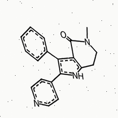 CN1CCc2[nH]c(-c3ccncc3)c(-c3ccccc3)c2C1=O